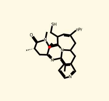 C=C1/C(=N\C(=C/C)N2C(=C)C(CS)C=C(CCC)CC2Cc2cccnc2)C[C@H](C)C(=O)N1C